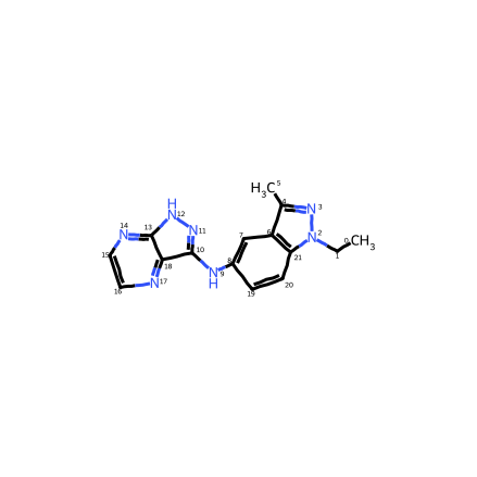 CCn1nc(C)c2cc(Nc3n[nH]c4nccnc34)ccc21